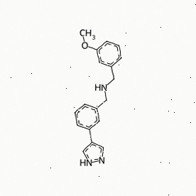 COc1cccc(CNCc2cccc(-c3cn[nH]c3)c2)c1